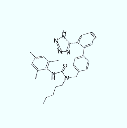 CCCCCN(Cc1ccc(-c2ccccc2-c2nnn[nH]2)cc1)C(=O)Nc1c(C)cc(C)cc1C